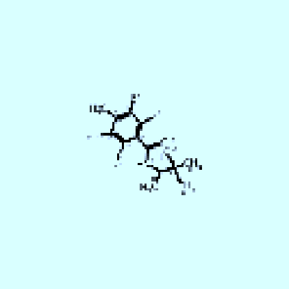 Cc1c(F)c(F)c(C(=O)NC(C)C(C)(C)C)c(F)c1F